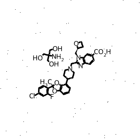 C[C@]1(c2ccc(Cl)cc2F)Oc2cccc(C3CCN(Cc4nc5ccc(C(=O)O)cc5n4C[C@@H]4CCO4)CC3)c2O1.NC(CO)(CO)CO